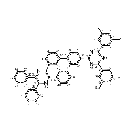 Cc1cc(C)cc(-c2nc(-c3ccc(-c4cccc(-c5nc(-c6ccccc6)c(-c6ccccc6)nc5-c5ccccc5)c4)cc3)nc(-c3cc(C)cc(C)c3)n2)c1